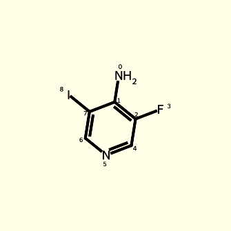 Nc1c(F)cncc1I